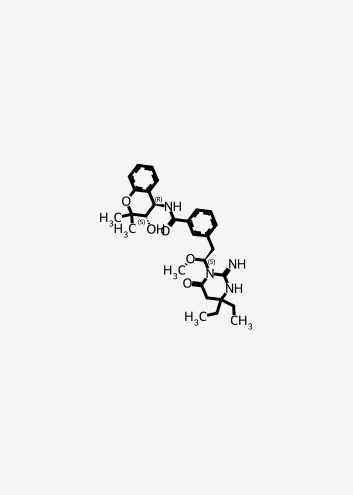 CCC1(CC)CC(=O)N([C@H](Cc2cccc(C(=O)N[C@@H]3c4ccccc4OC(C)(C)[C@H]3O)c2)OC)C(=N)N1